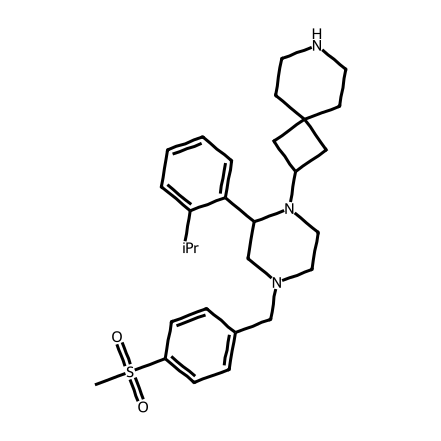 CC(C)c1ccccc1C1CN(Cc2ccc(S(C)(=O)=O)cc2)CCN1C1CC2(CCNCC2)C1